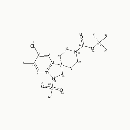 Cc1cc2c(cc1Cl)C1(CCN(C(=O)OC(C)(C)C)CC1)CN2S(C)(=O)=O